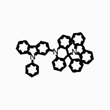 c1ccc(-n2c3ccccc3c3ccc(N4c5ccccc5C(c5ccccc5)(n5c6ccccc6c6ccccc65)c5ccccc54)cc32)cc1